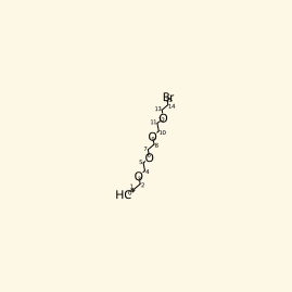 C#CCOCCOCCOCCOCCBr